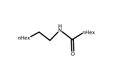 CCCCCCCCNC(=O)CCCCCC